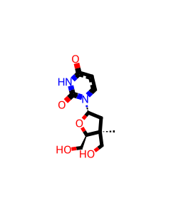 C[C@@]1(CO)C[C@@H](n2ccc(=O)[nH]c2=O)O[C@@H]1CO